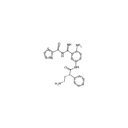 N=C(NC(=O)c1nccs1)c1cc(NC(=O)C(CCN)c2ccccc2)ccc1N